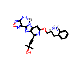 CCn1c(-c2nonc2N)nc2c(C#CC(C)(C)O)nc(OC[C@H](N)Cc3ccccc3C(F)(F)F)cc21